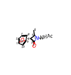 CC(=O)NN1C(=O)CC1C.c1cc2cc(c1)O2